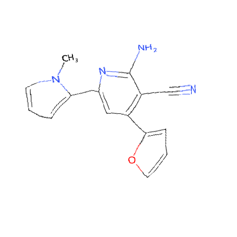 Cn1cccc1-c1cc(-c2ccco2)c(C#N)c(N)n1